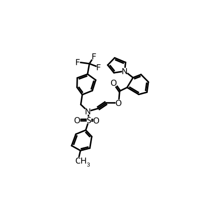 Cc1ccc(S(=O)(=O)N(C#COC(=O)c2ccccc2-n2cccc2)Cc2ccc(C(F)(F)F)cc2)cc1